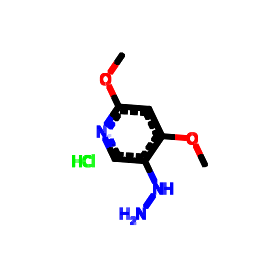 COc1cc(OC)c(NN)cn1.Cl